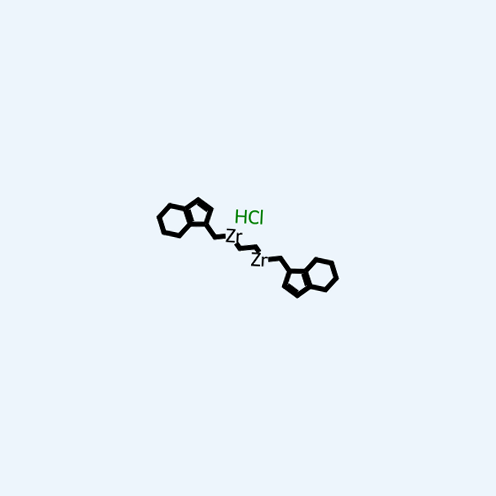 C1=CC([CH2][Zr][CH2][CH2][Zr][CH2]C2C=CC3=C2CCCC3)C2=C1CCCC2.Cl